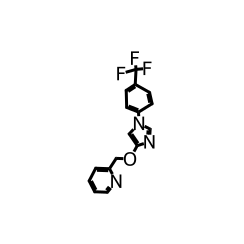 FC(F)(F)c1ccc(-n2cnc(OCc3ccccn3)c2)cc1